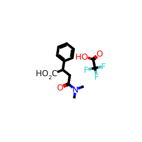 CN(C)C(=O)CC(C(=O)O)c1ccccc1.O=C(O)C(F)(F)F